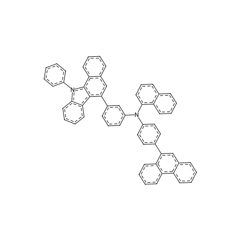 c1ccc(-n2c3ccccc3c3c(-c4cccc(N(c5ccc(-c6cc7ccccc7c7ccccc67)cc5)c5cccc6ccccc56)c4)cc4ccccc4c32)cc1